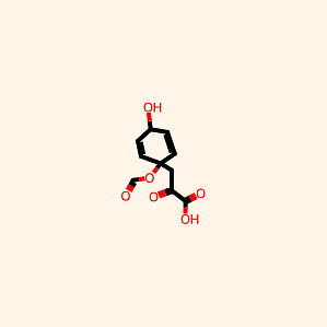 O=COC1(CC(=O)C(=O)O)C=CC(O)C=C1